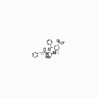 O=CC1Nc2ccc([N+](=O)[O-])cc2C(c2ccccc2)=NC1NC(=O)OCc1ccccc1